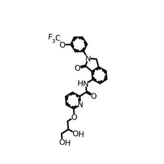 O=C(Nc1cccc2c1C(=O)N(c1cccc(OC(F)(F)F)c1)C2)c1cccc(OCC(O)CO)n1